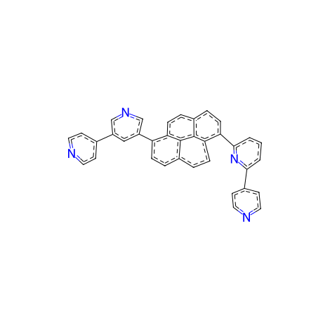 c1cc(-c2ccncc2)nc(-c2ccc3ccc4c(-c5cncc(-c6ccncc6)c5)ccc5ccc2c3c54)c1